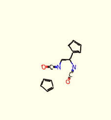 C1=CCC=C1.O=C=NCC(N=C=O)C1=CC=CC1